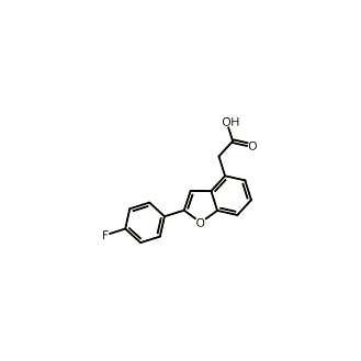 O=C(O)Cc1cccc2oc(-c3ccc(F)cc3)cc12